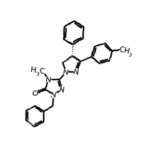 Cc1ccc(C2=NN(c3nn(Cc4ccccc4)c(=O)n3C)C[C@@H]2c2ccccc2)cc1